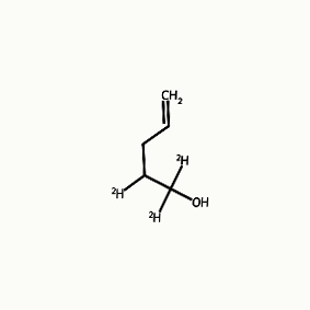 [2H]C(CC=C)C([2H])([2H])O